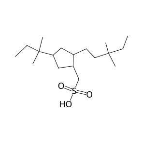 CCC(C)(C)CCC1CC(C(C)(C)CC)CC1CS(=O)(=O)O